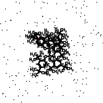 CC(C)(C)c1ccc(O[PH](Oc2ccc(C(C)(C)C)cc2C(C)(C)C)(Oc2ccc(C(C)(C)C)cc2C(C)(C)C)[Ni][PH](Oc2ccc(C(C)(C)C)cc2C(C)(C)C)(Oc2ccc(C(C)(C)C)cc2C(C)(C)C)Oc2ccc(C(C)(C)C)cc2C(C)(C)C)c(C(C)(C)C)c1